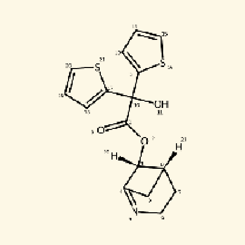 O=C(O[C@H]1C2=NCC[C@@H]1C2)C(O)(c1cccs1)c1cccs1